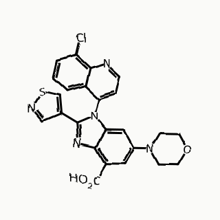 O=C(O)c1cc(N2CCOCC2)cc2c1nc(-c1cnsc1)n2-c1ccnc2c(Cl)cccc12